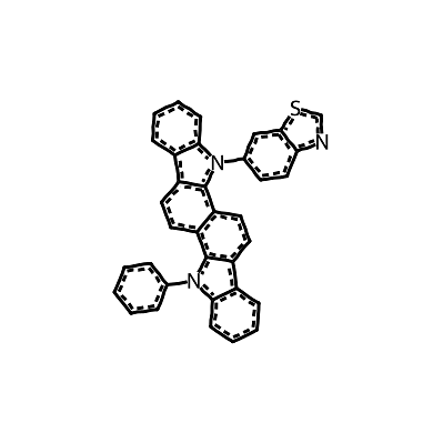 c1ccc(-n2c3ccccc3c3ccc4c(ccc5c6ccccc6n(-c6ccc7ncsc7c6)c54)c32)cc1